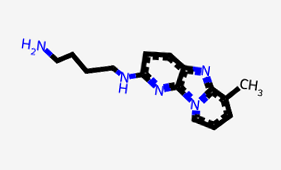 Cc1cccn2c1nc1ccc(NCCCCN)nc12